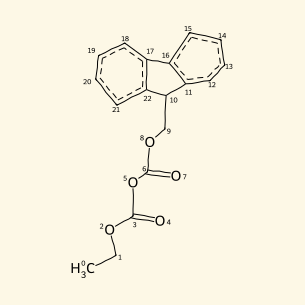 CCOC(=O)OC(=O)OCC1c2ccccc2-c2ccccc21